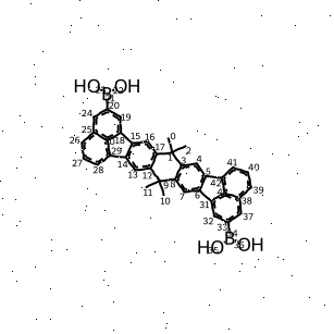 CC1(C)c2cc3c(cc2C(C)(C)c2cc4c(cc21)-c1cc(B(O)O)cc2cccc-4c12)-c1cc(B(O)O)cc2cccc-3c12